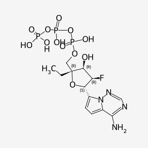 CC[C@]1(COP(=O)(O)OP(=O)(O)OP(=O)(O)O)O[C@@H](c2ccc3c(N)ncnn23)[C@H](F)[C@@H]1O